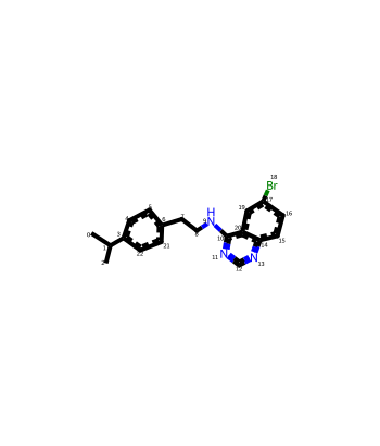 CC(C)c1ccc(CCNc2ncnc3ccc(Br)cc23)cc1